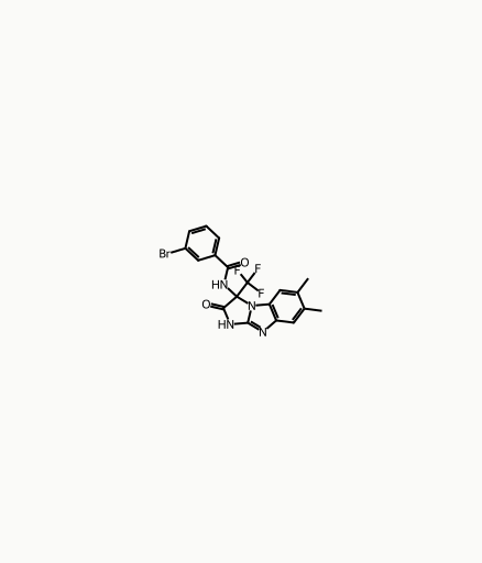 Cc1cc2nc3n(c2cc1C)C(NC(=O)c1cccc(Br)c1)(C(F)(F)F)C(=O)N3